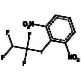 O=[N+]([O-])c1cccc([N+](=O)[O-])c1[CH]C(F)(F)C(F)F